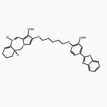 COc1cc(-c2nc3ccccc3s2)ccc1OCCCCCOc1cn2c(c1OC)C=[N+]([O-])C1=CCCC[C@H]1C2